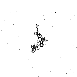 CN(C)CCCCC(=O)N1CCC(c2n[nH]c3c2C(=O)c2c(NC(=O)NN4CCOCC4)cccc2-3)CC1